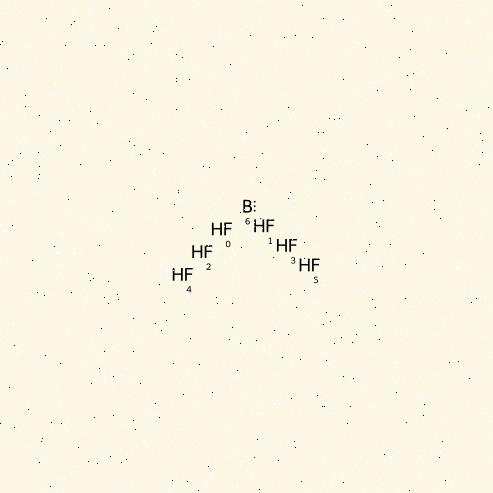 F.F.F.F.F.F.[B]